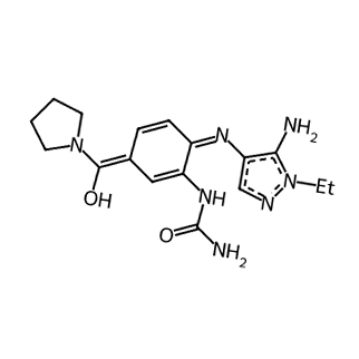 CCn1ncc(N=C2C=CC(=C(O)N3CCCC3)C=C2NC(N)=O)c1N